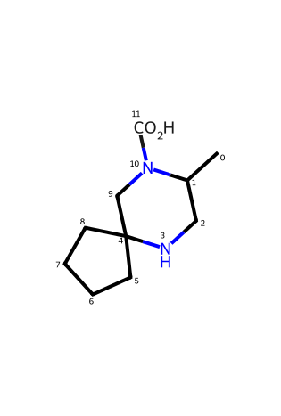 CC1CNC2(CCCC2)CN1C(=O)O